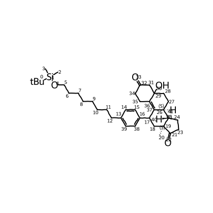 CC(C)(C)[Si](C)(C)OCCCCCCCCc1ccc(C2C[C@]3(C)C(=O)CC[C@H]3[C@@H]3CCC4(O)CC(=O)CCC4=C23)cc1